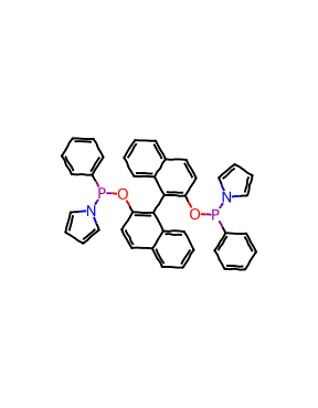 c1ccc(P(Oc2ccc3ccccc3c2-c2c(OP(c3ccccc3)n3cccc3)ccc3ccccc23)n2cccc2)cc1